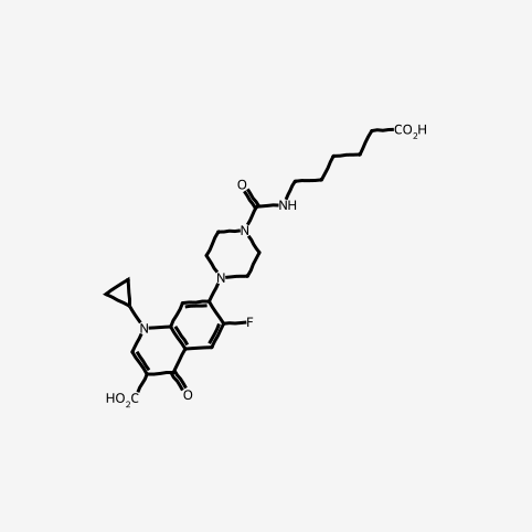 O=C(O)CCCCCNC(=O)N1CCN(c2cc3c(cc2F)c(=O)c(C(=O)O)cn3C2CC2)CC1